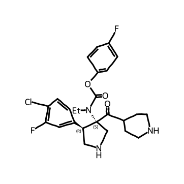 CCN(C(=O)Oc1ccc(F)cc1)[C@]1(C(=O)C2CCNCC2)CNC[C@H]1c1ccc(Cl)c(F)c1